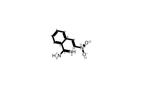 N=C(N)c1ccccc1C=C[N+](=O)[O-]